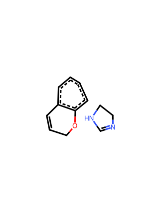 C1=Cc2ccccc2OC1.C1=NCCN1